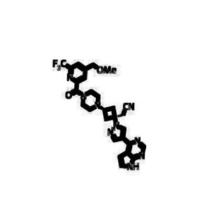 COCc1cc(C(=O)N2CCN([C@H]3C[C@@](CC#N)(n4cc(-c5ncnc6[nH]ccc56)cn4)C3)CC2)nc(C(F)(F)F)c1